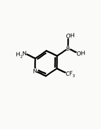 Nc1cc(B(O)O)c(C(F)(F)F)cn1